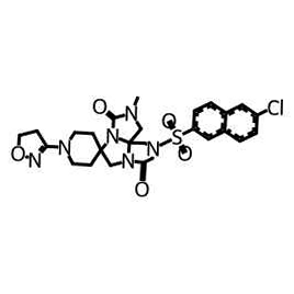 CN1CC23CN(S(=O)(=O)c4ccc5cc(Cl)ccc5c4)CC(=O)N2CC2(CCN(C4=NOCC4)CC2)N3C1=O